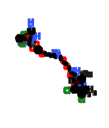 CCOc1cc(C(C)(C)C)ccc1C1=N[C@@](C)(c2ccc(Cl)cc2)[C@@](C)(c2ccc(Cl)cc2)N1C(=O)N1CCN(CC(=O)NCCOCCOCCn2cc(CCCCOc3ccc(S(=O)(=O)n4cc(NC(=O)c5c(Cl)cccc5Cl)c(C(=O)NC5CCNCC5)n4)cc3)nn2)CC1